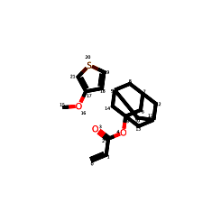 C=CC(=O)OC12CC3CC(CC(C3)C1)C2.COc1ccsc1